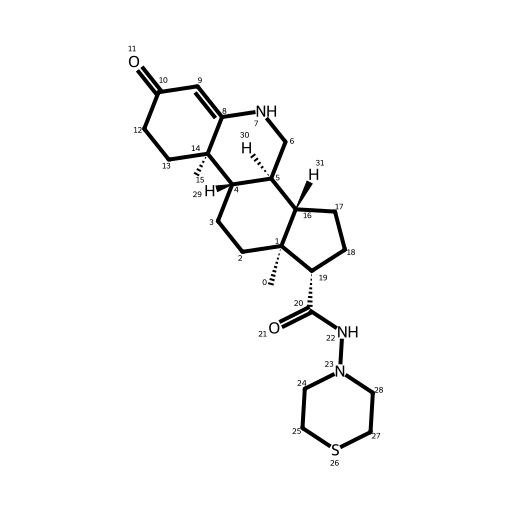 C[C@]12CC[C@H]3[C@@H](CNC4=CC(=O)CC[C@@]43C)[C@@H]1CC[C@@H]2C(=O)NN1CCSCC1